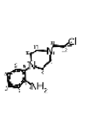 Nc1ccccc1N1CCN(CCCl)CC1